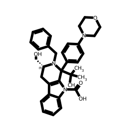 CC(C)(C)C1(c2ccc(N3CCOCC3)cc2)c2c(c3ccccc3n2C(=O)O)C[C@H](CO)N1Cc1ccccc1